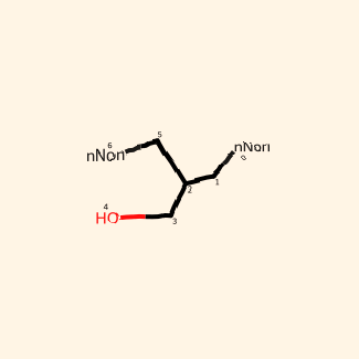 CCCCCCCCCCC(CO)CCCCCCCCCC